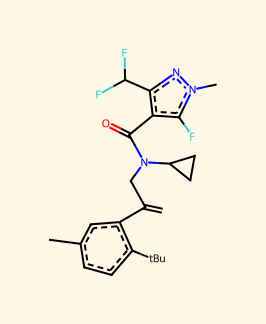 C=C(CN(C(=O)c1c(C(F)F)nn(C)c1F)C1CC1)c1cc(C)ccc1C(C)(C)C